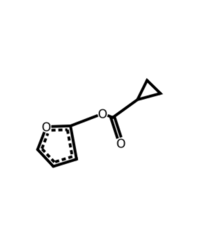 O=C(Oc1ccco1)C1CC1